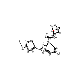 COc1ccc(-c2nc3c(C(=O)NC4CN5CCC4CC5)cc(Cl)cc3o2)cc1